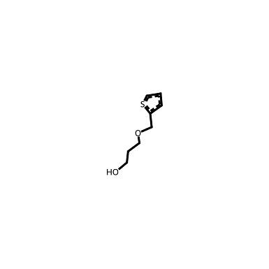 OCCCOCc1cccs1